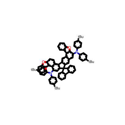 CC(C)(C)c1ccc(N(c2ccc(C(C)(C)C)cc2)c2cc3cc4c(cc3c3c2oc2ccccc23)-c2c(cc(N(c3ccc(C(C)(C)C)cc3)c3ccc(C(C)(C)C)cc3)c3c2ccc2oc5ccccc5c23)C42c3ccccc3-c3ccccc32)cc1